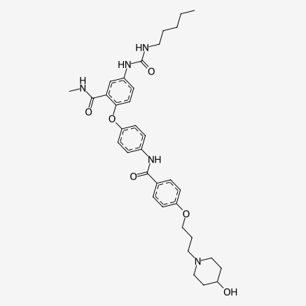 CCCCCNC(=O)Nc1ccc(Oc2ccc(NC(=O)c3ccc(OCCCN4CCC(O)CC4)cc3)cc2)c(C(=O)NC)c1